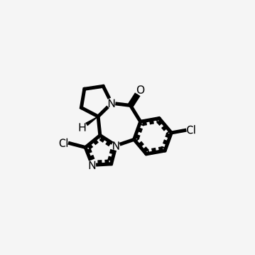 O=C1c2cc(Cl)ccc2-n2cnc(Cl)c2[C@@H]2CCCN12